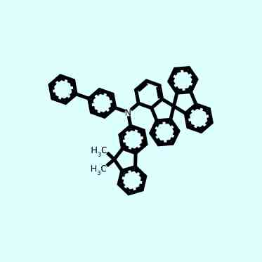 CC1(C)c2ccccc2-c2ccc(N(c3ccc(-c4ccccc4)cc3)C3C=CC=C4C3c3ccccc3C43c4ccccc4-c4ccccc43)cc21